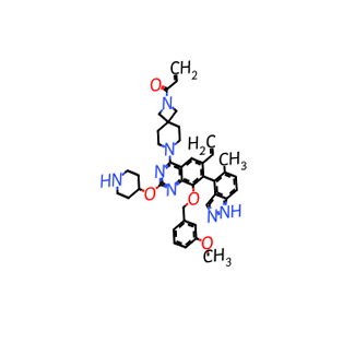 C=CC(=O)N1CC2(CCN(c3nc(OC4CCNCC4)nc4c(OCc5cccc(OC)c5)c(-c5c(C)ccc6[nH]ncc56)c(C=C)cc34)CC2)C1